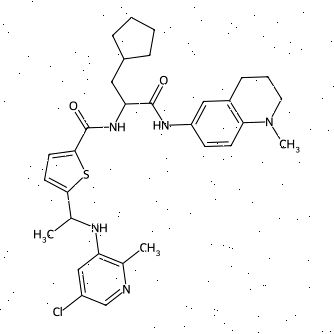 Cc1ncc(Cl)cc1NC(C)c1ccc(C(=O)NC(CC2CCCC2)C(=O)Nc2ccc3c(c2)CCCN3C)s1